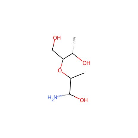 CC(OC(CO)[C@H](C)O)[C@@H](N)O